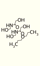 CCCOCCC.O=C(CO)NCO.O=C(CO)NCO